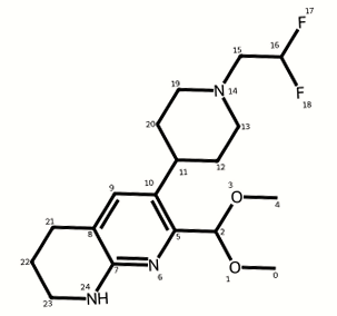 COC(OC)c1nc2c(cc1C1CCN(CC(F)F)CC1)CCCN2